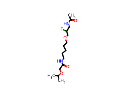 CC(=O)NCC(F)COCCCCCNC(=O)COC(C)C